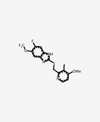 COc1ccnc(CSc2nc3cc(OC(F)(F)F)c(F)cc3[nH]2)c1C